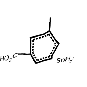 Cc1cccc(C(=O)O)c1.[SnH2]